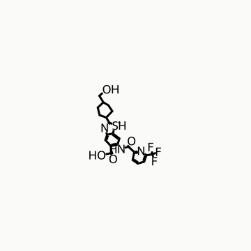 C[SH]1C(C2CCC(CO)CC2)=Nc2cc(C(=O)O)c(NC(=O)c3cccc(C(F)(F)F)n3)cc21